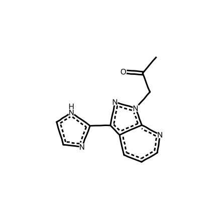 CC(=O)Cn1nc(-c2ncc[nH]2)c2cccnc21